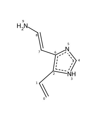 C=Cc1[nH]cnc1/C=C/N